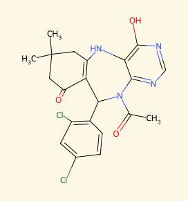 CC(=O)N1c2ncnc(O)c2NC2=C(C(=O)CC(C)(C)C2)C1c1ccc(Cl)cc1Cl